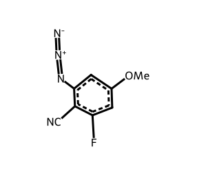 COc1cc(F)c(C#N)c(N=[N+]=[N-])c1